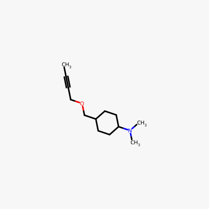 CC#CCOCC1CCC(N(C)C)CC1